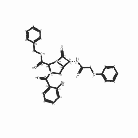 O=C(COc1ccccc1)N[C@H]1C(=O)N2C1CN(C(=O)c1ccccc1Br)C2C(=O)OCc1ccccc1